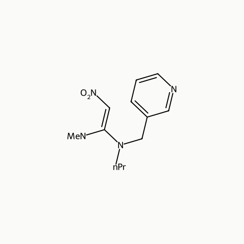 CCCN(Cc1cccnc1)C(=C[N+](=O)[O-])NC